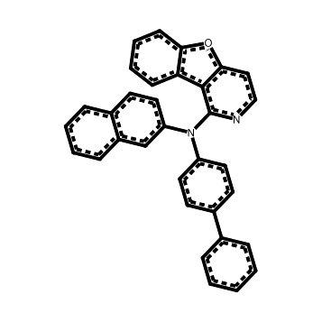 c1ccc(-c2ccc(N(c3ccc4ccccc4c3)c3nccc4oc5ccccc5c34)cc2)cc1